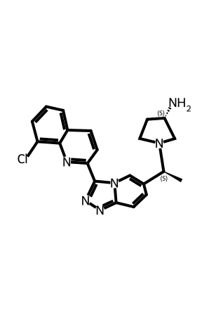 C[C@@H](c1ccc2nnc(-c3ccc4cccc(Cl)c4n3)n2c1)N1CC[C@H](N)C1